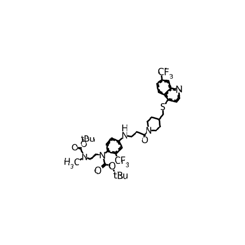 CN(CCN(C(=O)OC(C)(C)C)c1ccc(NCCC(=O)N2CCC(CSc3ccnc4cc(C(F)(F)F)ccc34)CC2)cc1C(F)(F)F)C(=O)OC(C)(C)C